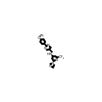 CC(C)Oc1ccc(-c2ncc(CNc3cc(-n4ccnc4)nc(C(F)(F)F)c3)cn2)cc1